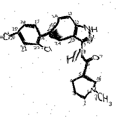 CN1CCCC(C(=O)Nc2n[nH]c3ccc(-c4ccc(Cl)cc4Cl)cc23)C1